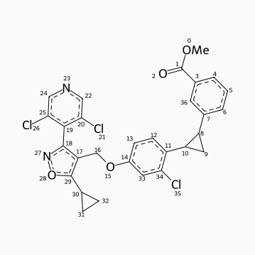 COC(=O)c1cccc(C2CC2c2ccc(OCc3c(-c4c(Cl)cncc4Cl)noc3C3CC3)cc2Cl)c1